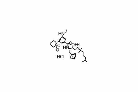 CCNc1cc(C(=O)N[C@@H](Cc2ccco2)[C@H](O)CNC(C)(C)CCCC(C)C)cc(N2CCCCS2(=O)=O)c1.Cl